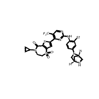 CCc1cc(N2C[C@@H]3C[C@H]2CN3)ccc1Nc1ncc(C(F)(F)F)c(-c2cc3c(s2)C(=O)N(C2CC2)CCS3(=O)=O)n1